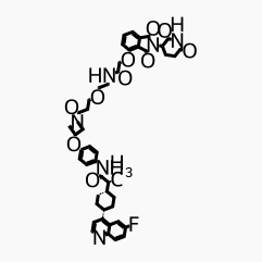 C[C@@H](C(=O)Nc1ccc(OC2CN(C(=O)CCOCCNC(=O)COc3cccc4c3C(=O)N(C3CCC(=O)NC3=O)C4=O)C2)cc1)[C@H]1CC[C@@H](c2ccnc3ccc(F)cc32)CC1